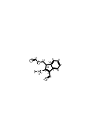 CC1=C(C=S)c2ccccc2C1COC=O